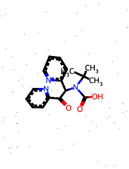 CC(C)(C)N(C(=O)O)C(C(=O)c1ccccn1)c1ccccn1